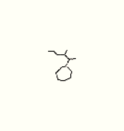 CCCC(C)C(C)N1CCCCCC1